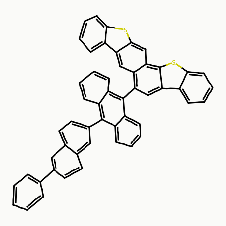 c1ccc(-c2ccc3cc(-c4c5ccccc5c(-c5cc6c7ccccc7sc6c6cc7sc8ccccc8c7cc56)c5ccccc45)ccc3c2)cc1